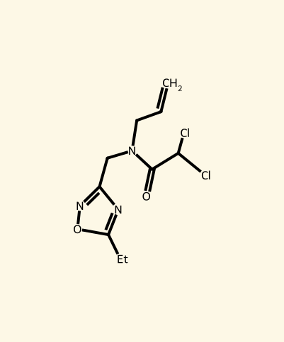 C=CCN(Cc1noc(CC)n1)C(=O)C(Cl)Cl